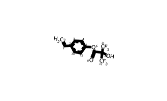 C=Cc1ccc(OC(=O)C(O)(C(F)(F)F)C(F)(F)F)cc1